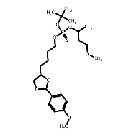 COCCC(C)OP(=S)(OCCCCC1COC(c2ccc(OC)cc2)O1)OC(C)(C)C